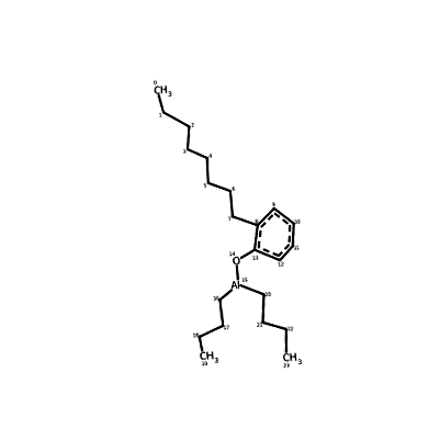 CCCCCCCCc1ccccc1[O][Al]([CH2]CCC)[CH2]CCC